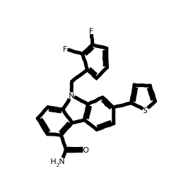 NC(=O)c1cccc2c1c1[c]cc(-c3cccs3)cc1n2Cc1cccc(F)c1F